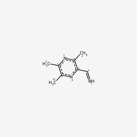 Cc1nc(C)c(C=N)nc1C